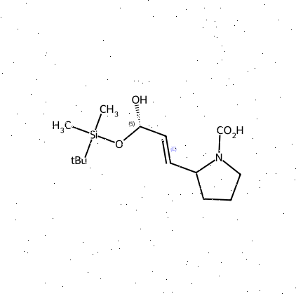 CC(C)(C)[Si](C)(C)O[C@H](O)/C=C/C1CCCN1C(=O)O